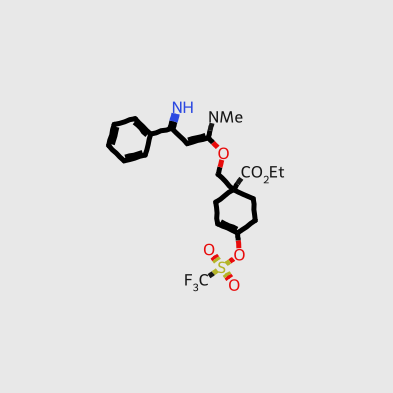 CCOC(=O)C1(CO/C(=C/C(=N)c2ccccc2)NC)CC=C(OS(=O)(=O)C(F)(F)F)CC1